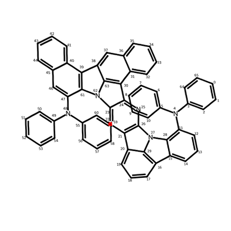 c1ccc(N(c2ccccc2)c2cccc3c4cccc5c6nc7c(nc6n(c23)c45)c2c3ccccc3cc3c4c5ccccc5cc(N(c5ccccc5)c5ccccc5)c4n7c32)cc1